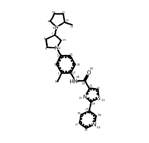 Cc1cc(N2CCC(N3CCCC3C)C2)ccc1NC(=O)c1csc(-c2cccnc2)n1